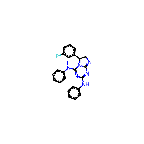 Fc1cccc(C2CN=C3N=C(Nc4ccccc4)N=C(Nc4ccccc4)N32)c1